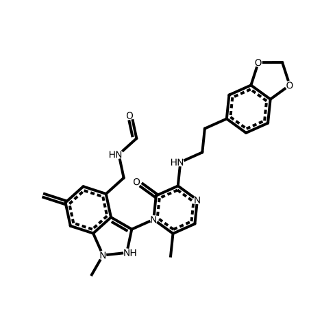 C=c1cc(CNC=O)c2c(c1)N(C)NC=2n1c(C)cnc(NCCc2ccc3c(c2)OCO3)c1=O